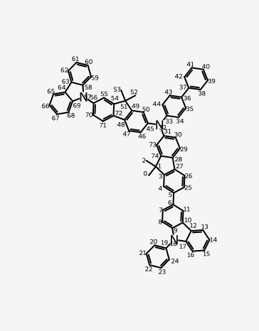 CC1(C)c2cc(-c3ccc4c(c3)c3ccccc3n4-c3ccccc3)ccc2-c2ccc(N(c3ccc(-c4ccccc4)cc3)c3ccc4c(c3)C(C)(C)c3cc(-n5c6ccccc6c6ccccc65)ccc3-4)cc21